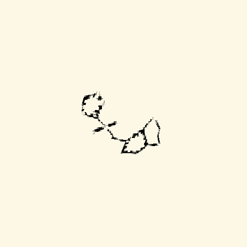 O=S(=O)(Cc1ccc2c(c1)OCO2)c1ncns1